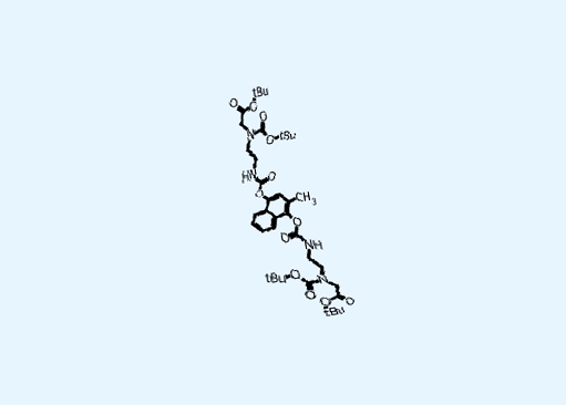 Cc1cc(OC(=O)NCCN(CC(=O)OC(C)(C)C)C(=O)OC(C)(C)C)c2ccccc2c1OC(=O)NCCN(CC(=O)OC(C)(C)C)C(=O)OC(C)(C)C